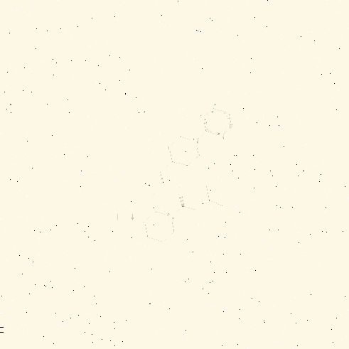 CC(C)OC(=O)N1CCC[C@H](N)[C@@H]1COCC1CCN(c2ncccn2)C[C@H]1F